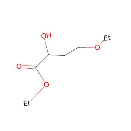 CCOCCC(O)C(=O)OCC